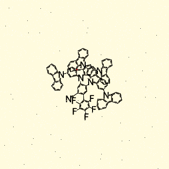 N#Cc1cc(-n2c3cc(-n4c5ccccc5c5ccccc54)ccc3c3ccc(-n4c5ccccc5c5ccccc54)cc32)c(-n2c3cc(-n4c5ccccc5c5ccccc54)ccc3c3ccc(-n4c5ccccc5c5ccccc54)cc32)cc1-c1c(F)c(F)c(F)c(F)c1F